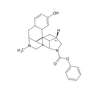 CN1CCC23C4C=C(O)C=CC4CC1C21CCC2C3[C@@H](CN2C(=O)Oc2ccccc2)C1